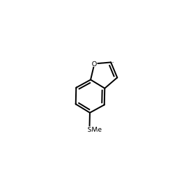 CSc1ccc2o[c]cc2c1